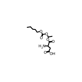 CCCCCOC(=O)OC(C)OC(=O)C(N)CC(=O)O